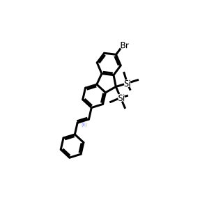 C[Si](C)(C)C1([Si](C)(C)C)c2cc(Br)ccc2-c2ccc(/C=C/c3ccccc3)cc21